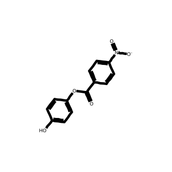 O=C(Oc1ccc(O)cc1)c1ccc([N+](=O)[O-])cc1